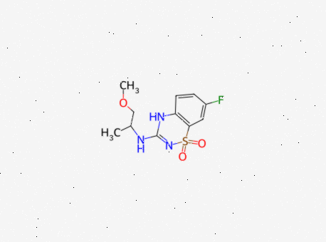 COCC(C)NC1=NS(=O)(=O)c2cc(F)ccc2N1